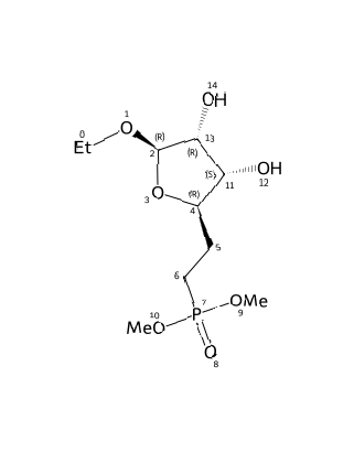 CCO[C@@H]1O[C@H](CCP(=O)(OC)OC)[C@@H](O)[C@H]1O